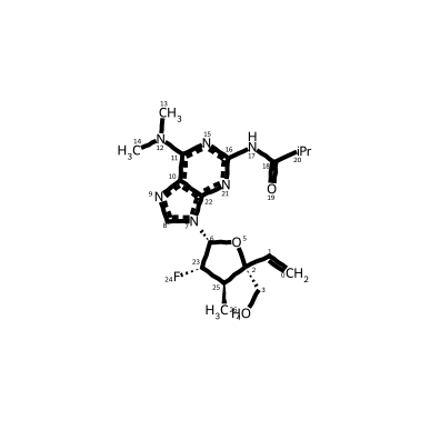 C=C[C@]1(CO)O[C@@H](n2cnc3c(N(C)C)nc(NC(=O)C(C)C)nc32)[C@@H](F)[C@@H]1C